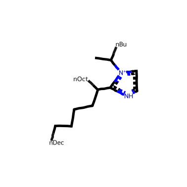 CCCCCCCCCCCCCCC(CCCCCCCC)c1[nH]cc[n+]1C(C)CCCC